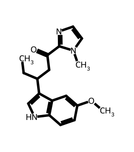 CCC(CC(=O)c1nccn1C)c1c[nH]c2ccc(OC)cc12